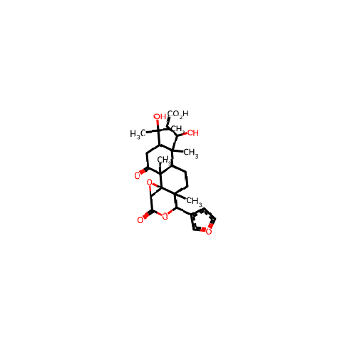 CC(C)(O)C1CC(=O)C2(C)C(CCC3(C)C(c4ccoc4)OC(=O)C4OC432)C1(C)C(O)CC(=O)O